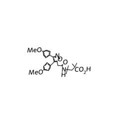 COc1ccc(-c2noc(CC(=O)NC(C)(C)CC(C)(C)C(=O)O)c2-c2ccc(OC)cc2)cc1